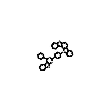 c1ccc(-c2nc(-c3ccc(-n4c5ccccc5c5ccc6sc7ccccc7c6c54)cc3)nc3sc4ccccc4c23)cc1